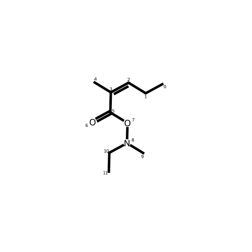 CCC=C(C)C(=O)ON(C)CC